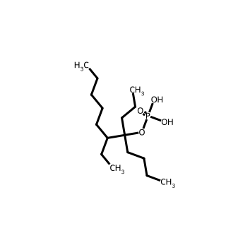 CCCCCC(CC)C(CCC)(CCCC)OP(=O)(O)O